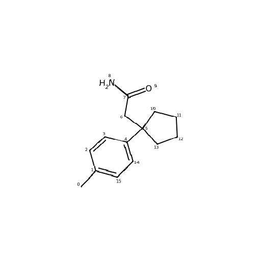 Cc1ccc(C2(CC(N)=O)CCCC2)cc1